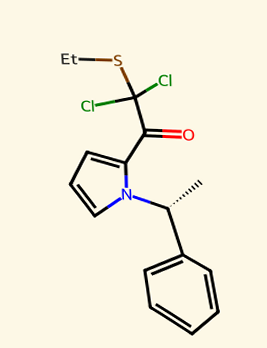 CCSC(Cl)(Cl)C(=O)c1cccn1[C@H](C)c1ccccc1